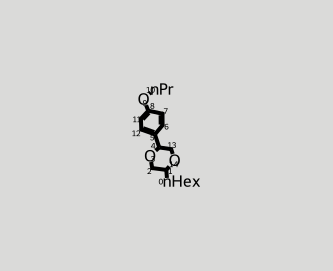 CCCCCCC1COC(c2ccc(OCCC)cc2)CO1